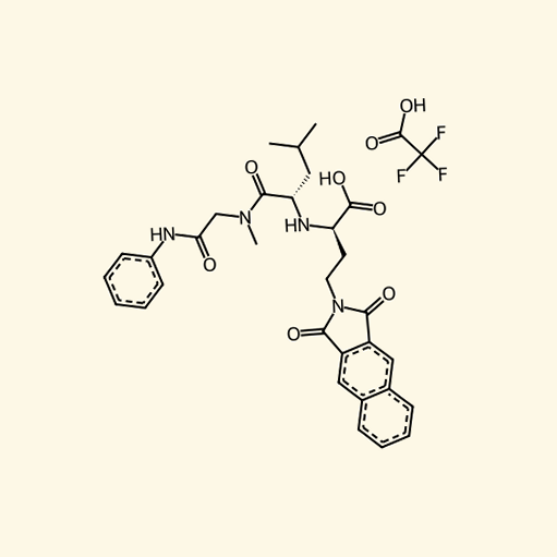 CC(C)C[C@H](N[C@H](CCN1C(=O)c2cc3ccccc3cc2C1=O)C(=O)O)C(=O)N(C)CC(=O)Nc1ccccc1.O=C(O)C(F)(F)F